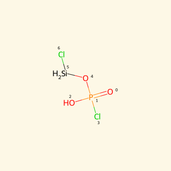 O=P(O)(Cl)O[SiH2]Cl